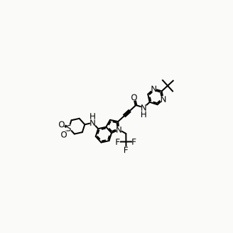 CC(C)(C)c1ncc(NC(=O)C#Cc2cc3c(NC4CCS(=O)(=O)CC4)cccc3n2CC(F)(F)F)cn1